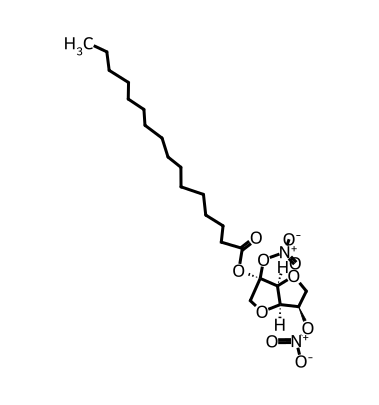 CCCCCCCCCCCCCCCC(=O)O[C@@]1(O[N+](=O)[O-])CO[C@@H]2[C@H](O[N+](=O)[O-])CO[C@@H]21